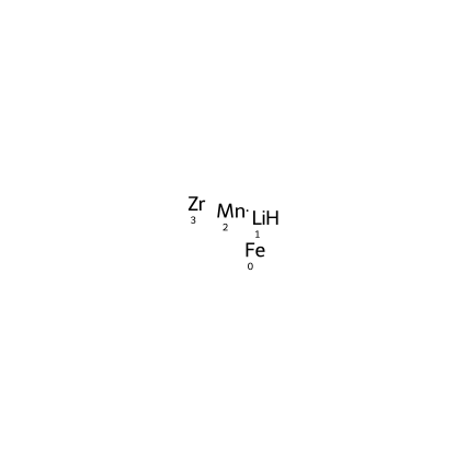 [Fe].[LiH].[Mn].[Zr]